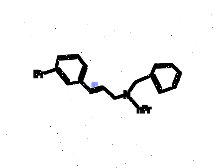 CCCN(C/C=C/c1cccc(C(C)C)c1)Cc1ccccc1